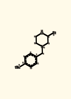 CCC1CN(Cc2ccc(C(C)(C)C)cc2)CCO1